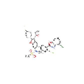 CNC(=O)c1c(-c2ccc(F)cc2)oc2cc(N(C)S(C)(=O)=O)c(-c3ccc(F)c(-c4nc5c(Cl)cccc5o4)c3)cc12